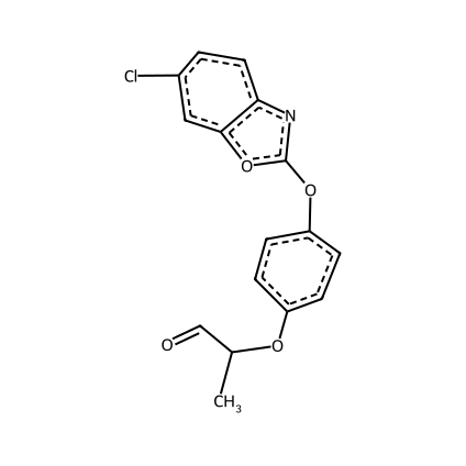 CC(C=O)Oc1ccc(Oc2nc3ccc(Cl)cc3o2)cc1